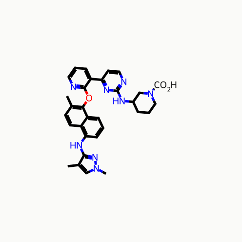 Cc1cn(C)nc1Nc1cccc2c(Oc3ncccc3-c3ccnc(NC4CCCN(C(=O)O)C4)n3)c(C)ccc12